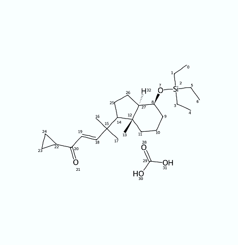 CC[Si](CC)(CC)O[C@H]1CCC[C@]2(C)C(C(C)(C)/C=C/C(=O)C3CC3)CC[C@@H]12.O=C(O)O